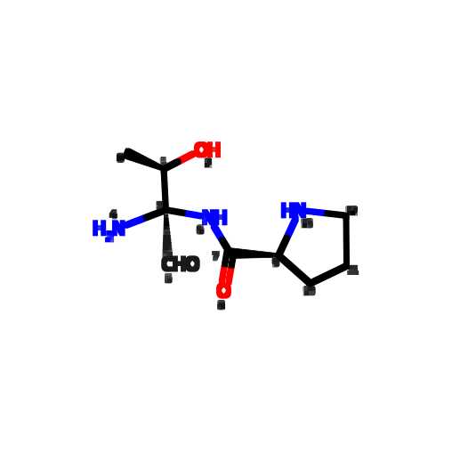 C[C@@H](O)[C@@](N)(C=O)NC(=O)[C@@H]1CCCN1